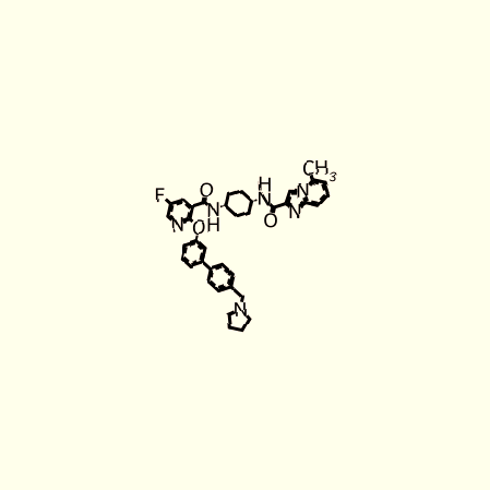 Cc1cccc2nc(C(=O)N[C@H]3CC[C@@H](NC(=O)c4cc(F)cnc4Oc4cccc(-c5ccc(CN6CCCC6)cc5)c4)CC3)cn12